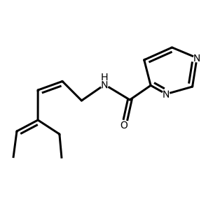 C/C=C(/C=C\CNC(=O)c1ccncn1)CC